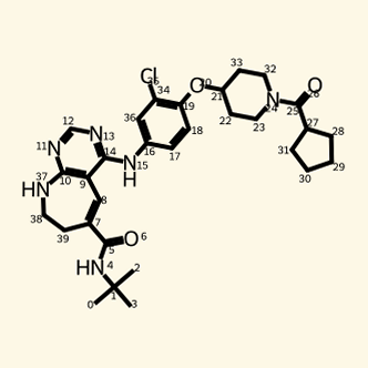 CC(C)(C)NC(=O)C1=Cc2c(ncnc2Nc2ccc(OC3CCN(C(=O)C4CCCC4)CC3)c(Cl)c2)NCC1